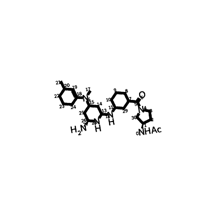 CC(=O)N[C@@H]1CCN(C(=O)C2CCCC(NC3CC(N(C)C4=CC(C)CCC4)C[C@H](N)N3)C2)C1